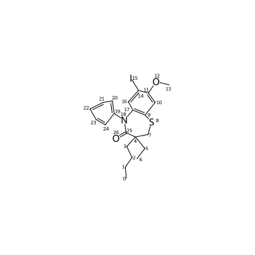 CCCCC1(CC)CSc2cc(OC)c(I)cc2N(c2ccccc2)C1=O